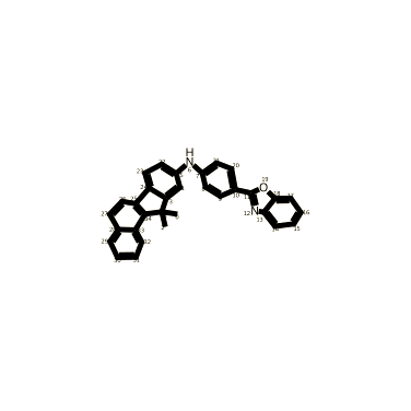 CC1(C)c2cc(Nc3ccc(-c4nc5ccccc5o4)cc3)ccc2-c2ccc3ccccc3c21